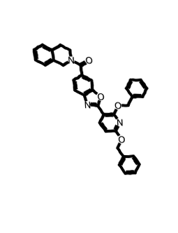 O=C(c1ccc2nc(-c3ccc(OCc4ccccc4)nc3OCc3ccccc3)oc2c1)N1CCc2ccccc2C1